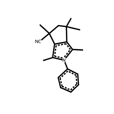 Cc1c2c(c(C)n1-c1ccccc1)C(C)(C#N)CC2(C)C